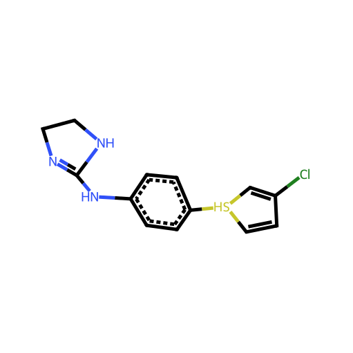 ClC1=C[SH](c2ccc(NC3=NCCN3)cc2)C=C1